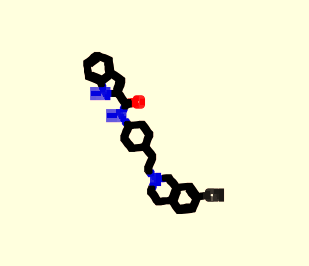 N#Cc1ccc2c(c1)CN(CCC1CCC(NC(=O)c3cc4ccccc4[nH]3)CC1)CC2